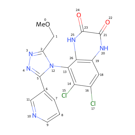 COCc1nnc(-c2cccnc2)n1-c1c(Cl)c(Cl)cc2[nH]c(=O)c(=O)[nH]c12